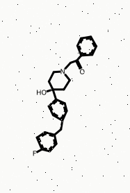 O=C(CN1CCC(O)(c2ccc(Cc3ccc(F)cc3)cc2)CC1)c1ccccc1